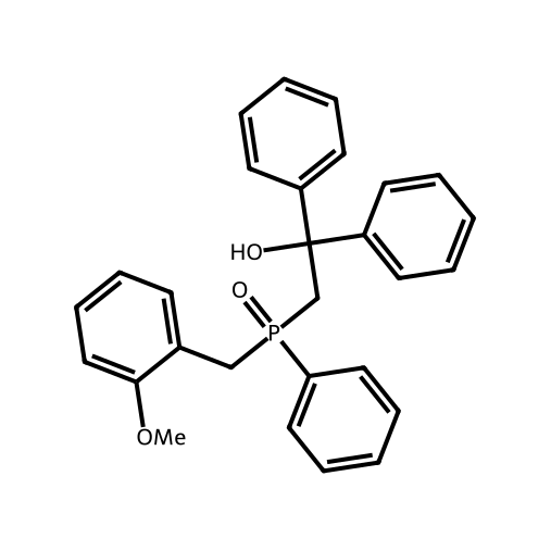 COc1ccccc1CP(=O)(CC(O)(c1ccccc1)c1ccccc1)c1ccccc1